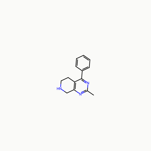 Cc1nc2c(c(-c3ccccc3)n1)CCNC2